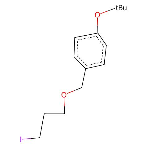 CC(C)(C)Oc1ccc(COCCCI)cc1